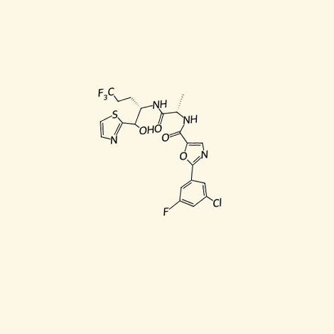 C[C@H](NC(=O)c1cnc(-c2cc(F)cc(Cl)c2)o1)C(=O)N[C@@H](CCC(F)(F)F)C(O)c1nccs1